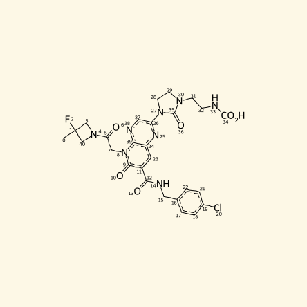 CC1(F)CN(C(=O)Cn2c(=O)c(C(=O)NCc3ccc(Cl)cc3)cc3nc(N4CCN(CCNC(=O)O)C4=O)cnc32)C1